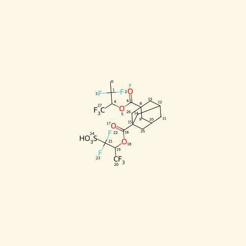 CC(F)(F)C(OC(=O)C12CC3CC(C1)CC(C(=O)OC(C(F)(F)F)C(F)(F)S(=O)(=O)O)(C3)C2)C(F)(F)F